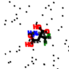 N[C@](CC(=O)O)(C(=O)O)C(F)F